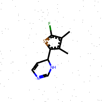 Cc1c(F)sc(C2C=CN=CN2)c1C